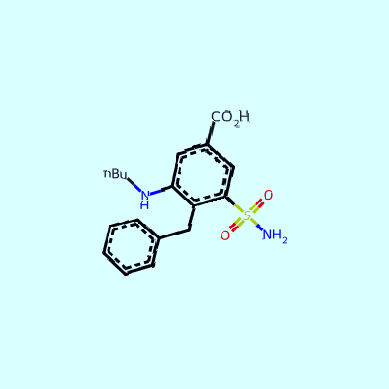 CCCCNc1cc(C(=O)O)cc(S(N)(=O)=O)c1Cc1ccccc1